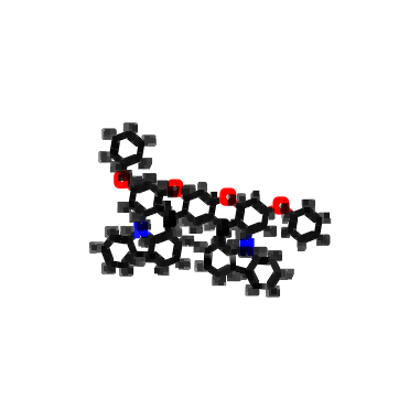 C1=C2Oc3cc(Oc4ccccc4)cc4c3B(C2=CC2B3c5c(cc(Oc6ccccc6)cc5-n5c6ccccc6c6cccc3c65)OC12)c1cccc2c3ccccc3n-4c12